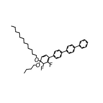 CCCCCCCCCCCCOC1(OCCCC)C=CC(c2ccc(-c3ccc(-c4ccccc4)cc3)cc2)=C(F)C1F